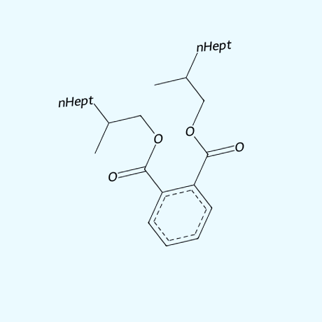 CCCCCCCC(C)COC(=O)c1ccccc1C(=O)OCC(C)CCCCCCC